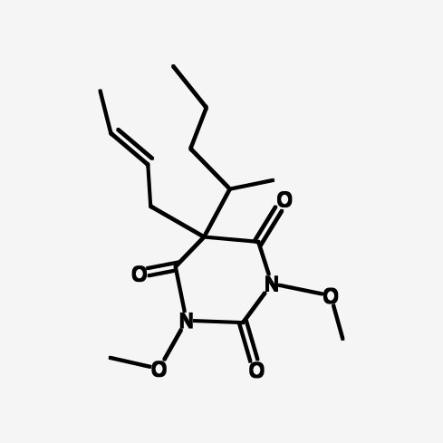 CC=CCC1(C(C)CCC)C(=O)N(OC)C(=O)N(OC)C1=O